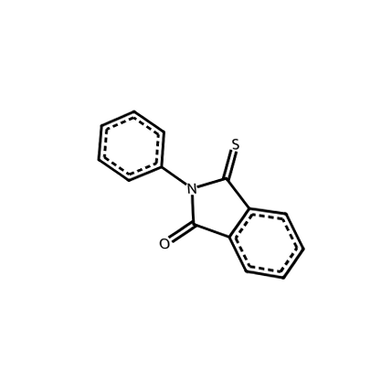 O=C1c2ccccc2C(=S)N1c1ccccc1